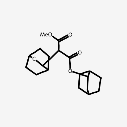 COC(=O)C(C(=O)OC1CC2CCC1CC2)C1CC2CCC1CC2